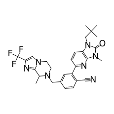 CC1c2nc(C(F)(F)F)cn2CCN1Cc1ccc(C#N)c(-c2ccc3c(n2)n(C)c(=O)n3CC(C)(C)C)c1